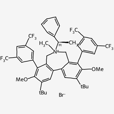 COc1c(C(C)(C)C)cc2c(c1-c1cc(C(F)(F)F)cc(C(F)(F)F)c1)C[N+](C)([C@H](C)c1ccccc1)Cc1c-2cc(C(C)(C)C)c(OC)c1-c1cc(C(F)(F)F)cc(C(F)(F)F)c1.[Br-]